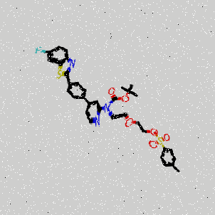 Cc1ccc(S(=O)(=O)OCCOCCN(C(=O)OC(C)(C)C)c2cc(-c3ccc(-c4nc5ccc(F)cc5s4)cc3)ccn2)cc1